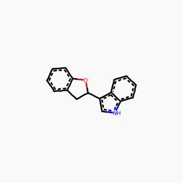 [c]1cccc2c1CC(c1c[nH]c3ccccc13)O2